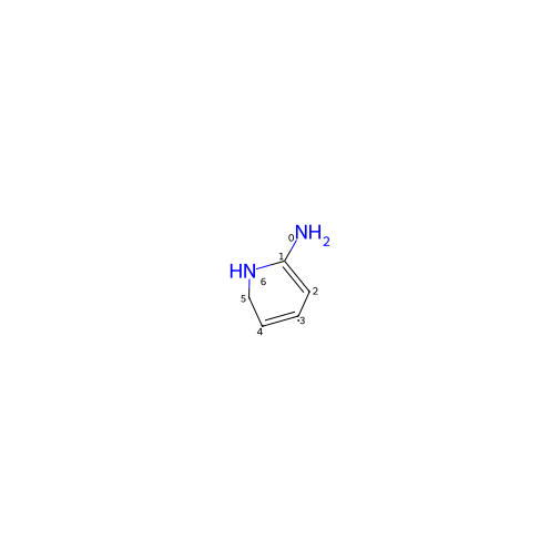 NC1=C[C]=CCN1